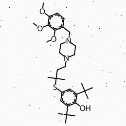 COc1ccc(CN2CCN(CCC(C)(C)Sc3cc(C(C)(C)C)c(O)c(C(C)(C)C)c3)CC2)c(OC)c1OC